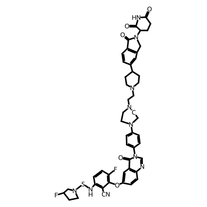 N#Cc1c(NSN2CCC(F)C2)ccc(F)c1Oc1ccc2ncn(-c3ccc(N4CCN(CCN5CCC(c6ccc7c(c6)CN(C6CCC(=O)NC6=O)C7=O)CC5)CC4)cc3)c(=O)c2c1